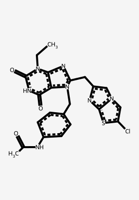 CCn1c(=O)[nH]c(=O)c2c1nc(Cc1cn3cc(Cl)sc3n1)n2Cc1ccc(NC(C)=O)cc1